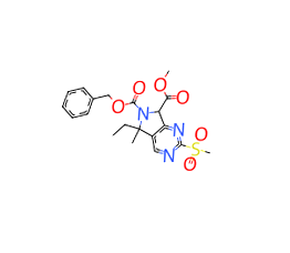 CCC1(C)c2cnc(S(C)(=O)=O)nc2C(C(=O)OC)N1C(=O)OCc1ccccc1